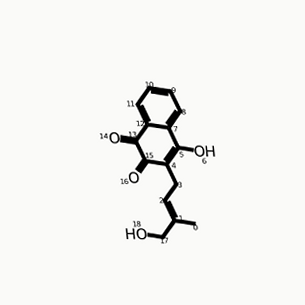 C/C(=C\CC1=C(O)c2ccccc2C(=O)C1=O)CO